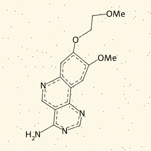 COCCOc1cc2ncc3c(N)ncnc3c2cc1OC